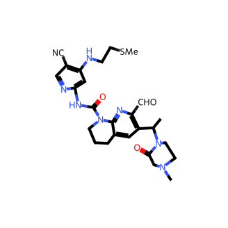 CSCCNc1cc(NC(=O)N2CCCc3cc(C(C)N4CCN(C)CC4=O)c(C=O)nc32)ncc1C#N